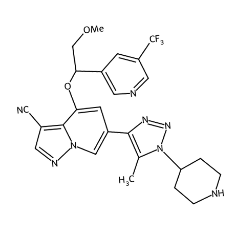 COCC(Oc1cc(-c2nnn(C3CCNCC3)c2C)cn2ncc(C#N)c12)c1cncc(C(F)(F)F)c1